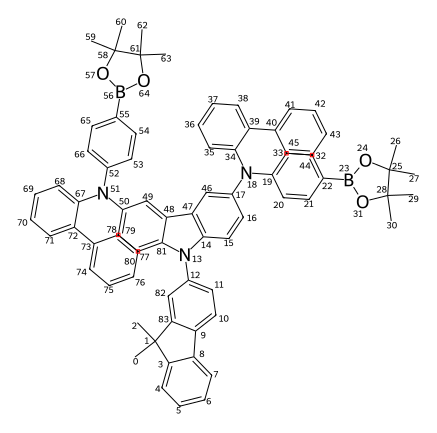 CC1(C)c2ccccc2-c2ccc(-n3c4ccc(N(c5ccc(B6OC(C)(C)C(C)(C)O6)cc5)c5ccccc5-c5ccccc5)cc4c4cc(N(c5ccc(B6OC(C)(C)C(C)(C)O6)cc5)c5ccccc5-c5ccccc5)ccc43)cc21